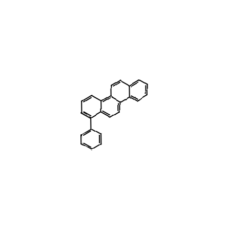 [c]1ccc(-c2cccc3c2ccc2c4ccccc4ccc32)cc1